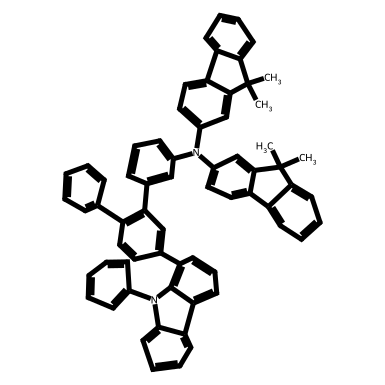 CC1(C)c2ccccc2-c2ccc(N(c3cccc(-c4cc(-c5cccc6c7ccccc7n(-c7ccccc7)c56)ccc4-c4ccccc4)c3)c3ccc4c(c3)C(C)(C)c3ccccc3-4)cc21